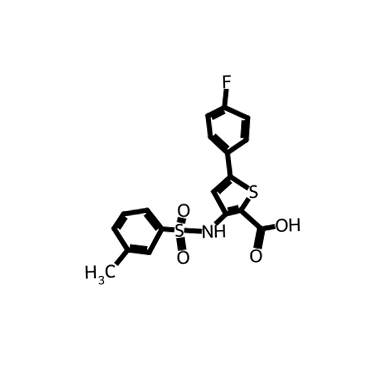 Cc1cccc(S(=O)(=O)Nc2cc(-c3ccc(F)cc3)sc2C(=O)O)c1